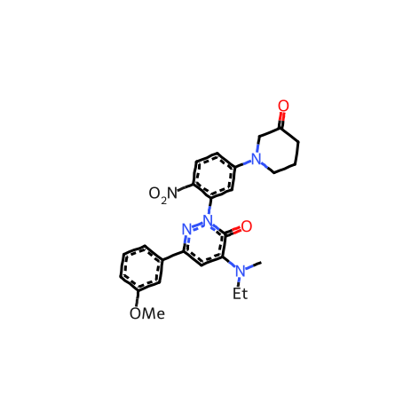 CCN(C)c1cc(-c2cccc(OC)c2)nn(-c2cc(N3CCCC(=O)C3)ccc2[N+](=O)[O-])c1=O